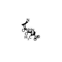 Cn1c([N+](=O)[O-])cnc1C(=O)NC(=O)N1CC1C#N